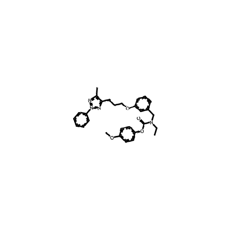 CCN(Cc1cccc(OCCCc2nn(-c3ccccc3)nc2C)c1)C(=O)Oc1ccc(OC)cc1